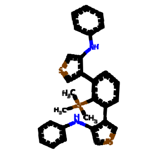 CS(C)(C)c1c(-c2cscc2Nc2ccccc2)cccc1-c1cscc1Nc1ccccc1